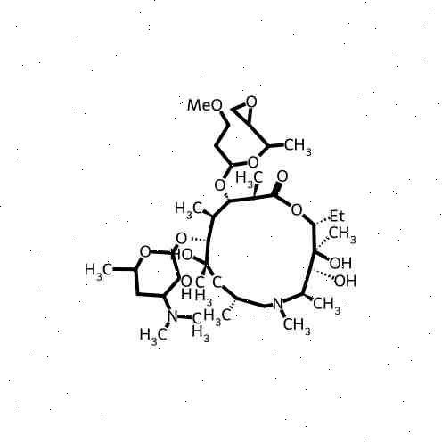 CC[C@H]1OC(=O)[C@H](C)[C@@H](OC(CCOC)OC(C)C2CO2)[C@H](C)[C@@H](OC2OC(C)CC(N(C)C)C2O)[C@@](C)(O)C[C@@H](C)CN(C)[C@H](C)[C@@H](O)[C@]1(C)O